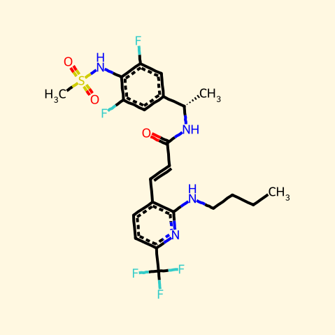 CCCCNc1nc(C(F)(F)F)ccc1/C=C/C(=O)N[C@@H](C)c1cc(F)c(NS(C)(=O)=O)c(F)c1